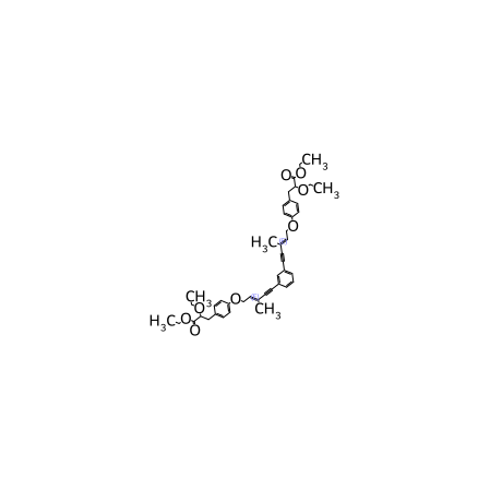 CCOC(=O)C(Cc1ccc(OC/C=C(\C)C#Cc2cccc(C#C/C(C)=C/COc3ccc(CC(OCC)C(=O)OCC)cc3)c2)cc1)OCC